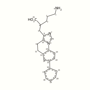 NCCCC(Cc1ncn2c1CCc1cc(-c3ccccc3)ccc1-2)C(=O)O